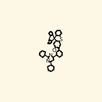 c1ccc(-c2cc(-c3cccc4c3oc3cc5c(cc34)Sc3ccccc3C53c4ccccc4-c4ccccc43)nc(-c3ccccc3)n2)cc1